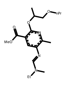 CCCOCC(C)Oc1nc(C)c(N=CN(C)CC)cc1C(=O)OC